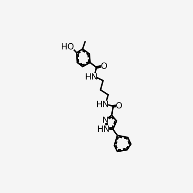 Cc1cc(C(=O)NCCCNC(=O)c2cc(-c3ccccc3)[nH]n2)ccc1O